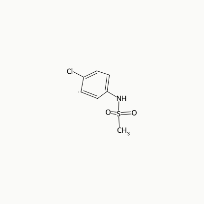 CS(=O)(=O)Nc1c[c]c(Cl)cc1